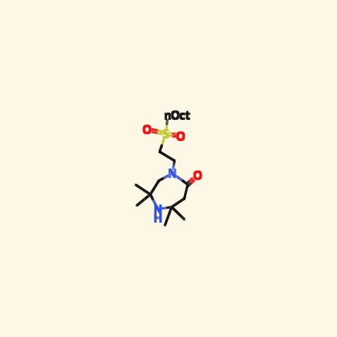 CCCCCCCCS(=O)(=O)CCN1CC(C)(C)NC(C)(C)CC1=O